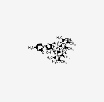 CC(C)[SiH](C(C)C)[Si](OOC[C@H]1O[C@@H](n2ccc(N)nc2=O)[C@@H](O)[C@@H]1OO[Si](C(C)C)(C(C)C)[SiH](C(C)C)C(C)C)(C(C)C)C(C)C